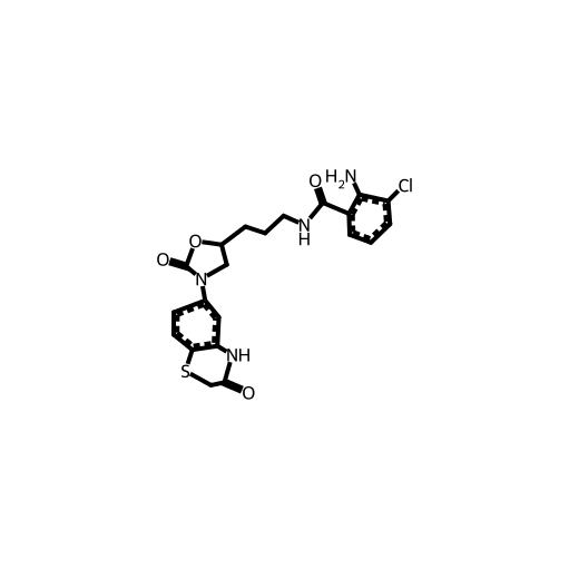 Nc1c(Cl)cccc1C(=O)NCCCC1CN(c2ccc3c(c2)NC(=O)CS3)C(=O)O1